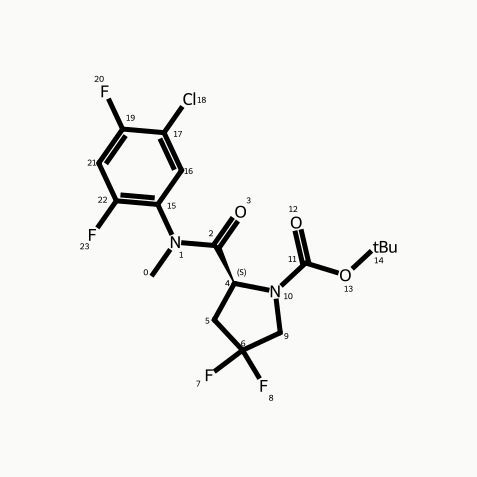 CN(C(=O)[C@@H]1CC(F)(F)CN1C(=O)OC(C)(C)C)c1cc(Cl)c(F)cc1F